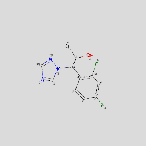 CCC(O)C(c1ccc(F)cc1F)n1cncn1